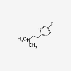 CN(C)CCc1[c]cc(F)cc1